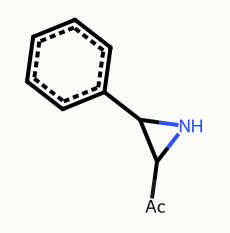 CC(=O)C1NC1c1ccccc1